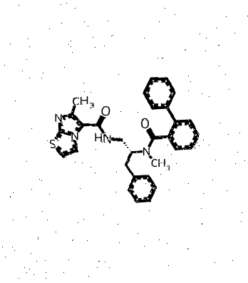 Cc1nc2sccn2c1C(=O)NC[C@@H](Cc1ccccc1)N(C)C(=O)c1ccccc1-c1ccccc1